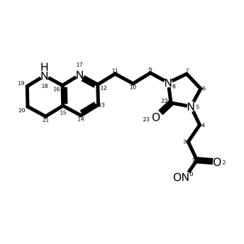 O=NC(=O)CCN1CCN(CCCc2ccc3c(n2)NCCC3)C1=O